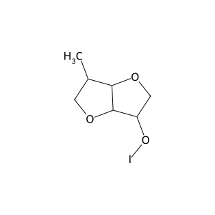 CC1COC2C(OI)COC12